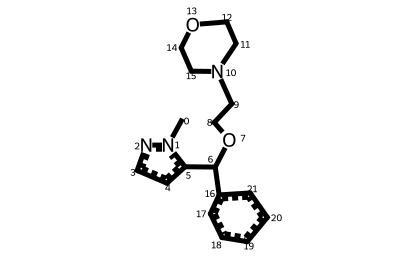 Cn1nccc1C(OCCN1CCOCC1)c1ccccc1